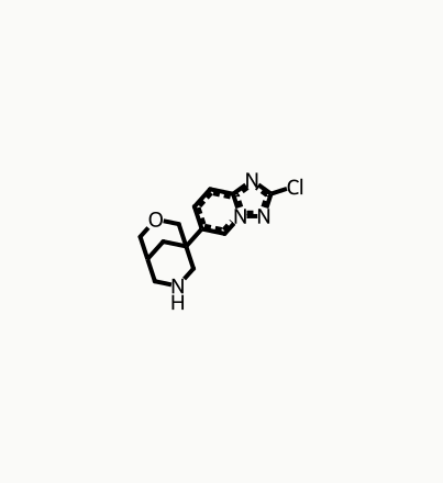 Clc1nc2ccc(C34CNCC(COC3)C4)cn2n1